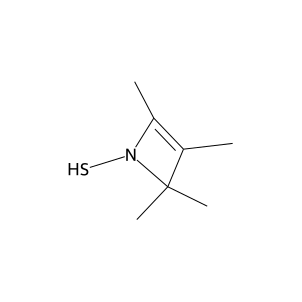 CC1=C(C)C(C)(C)N1S